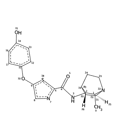 C[C@H]1[C@H](NC(=O)c2ncc(Oc3ccc(O)cc3)s2)C2CCN1CC2